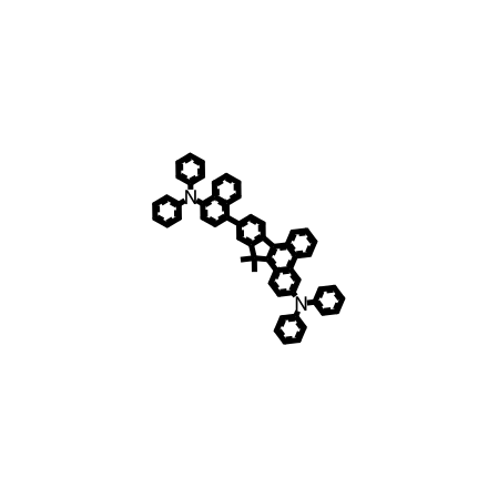 CC1(C)c2cc(-c3ccc(N(c4ccccc4)c4ccccc4)c4ccccc34)ccc2-c2c1c1ccc(N(c3ccccc3)c3ccccc3)cc1c1ccccc21